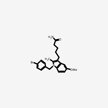 COc1ccc2c(c1)c(CCCCC(N)=O)c(C)n2Cc1ccc(Br)cc1